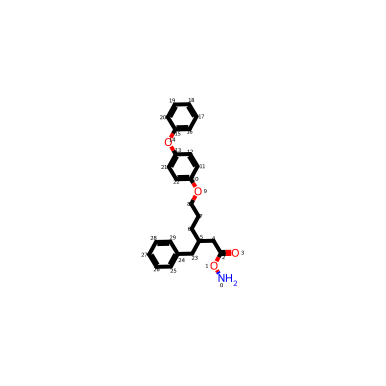 NOC(=O)CC(CCCOc1ccc(Oc2ccccc2)cc1)Cc1ccccc1